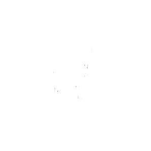 CC(N)S(=O)(=O)O.Cc1ncc(C(C)N)n1C